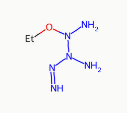 CCON(N)N(N)N=N